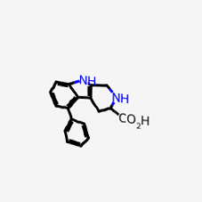 O=C(O)C1Cc2c([nH]c3cccc(-c4ccccc4)c23)CN1